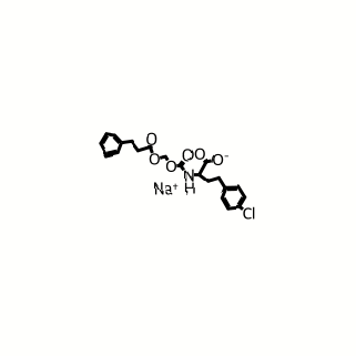 O=C(CCc1ccccc1)OCOC(=O)NC(CCc1ccc(Cl)cc1)C(=O)[O-].[Na+]